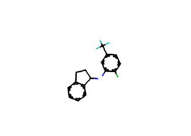 FC(F)(F)c1c[c]c(Cl)c(NC2CCc3ccccc32)c1